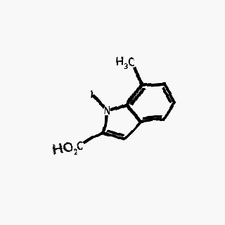 Cc1cccc2cc(C(=O)O)n(I)c12